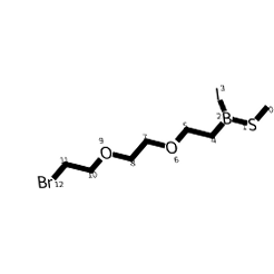 CSB(I)CCOCCOCCBr